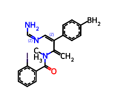 Bc1ccc(/C(=C/N=C\N)C(=C)N(C)C(=O)c2ccccc2I)cc1